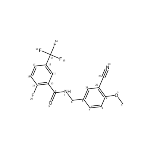 COc1ccc(CNC(=O)c2cc(C(F)(F)F)ccc2F)cc1C#N